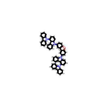 C1=CC2C(C(n3c4ccccc4c4ccccc43)=C1)c1ccccc1N2c1ccc2oc3ccc(-n4c5ccccc5c5c(-n6c7ccccc7c7ccccc76)cccc54)cc3c2c1